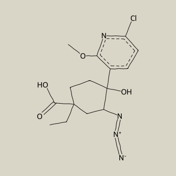 CCC1(C(=O)O)CCC(O)(c2ccc(Cl)nc2OC)C(N=[N+]=[N-])C1